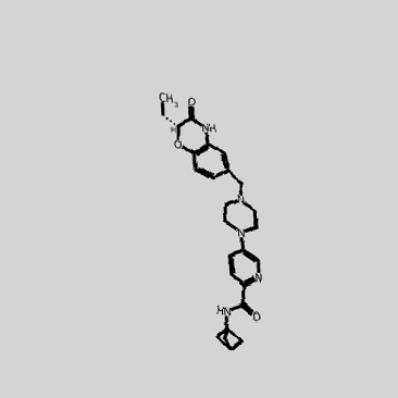 CC[C@H]1Oc2ccc(CN3CCN(c4ccc(C(=O)NC56CC(C5)C6)nc4)CC3)cc2NC1=O